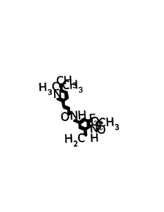 C=Cc1cc(CNC(=O)/C=C/c2ccc(C(C)(C)C)nc2)cc(F)c1NS(C)(=O)=O